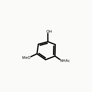 COc1cc(O)cc(NC(C)=O)c1